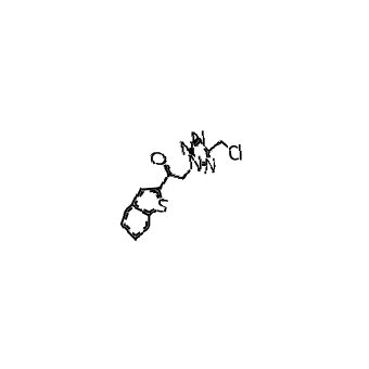 O=C(Cn1nnc(CCl)n1)c1cc2ccccc2s1